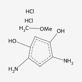 COC.Cl.Cl.Nc1cc(N)c(O)cc1O